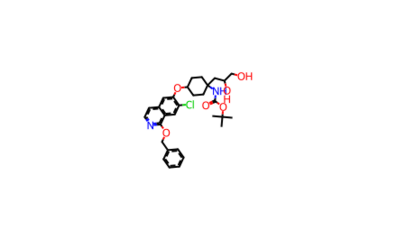 CC(C)(C)OC(=O)NC1(CC(O)CO)CCC(Oc2cc3ccnc(OCc4ccccc4)c3cc2Cl)CC1